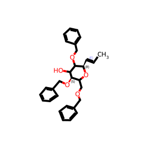 C/C=C/[C@H]1OC(COCc2ccccc2)[C@@H](OCc2ccccc2)C(O)C1OCc1ccccc1